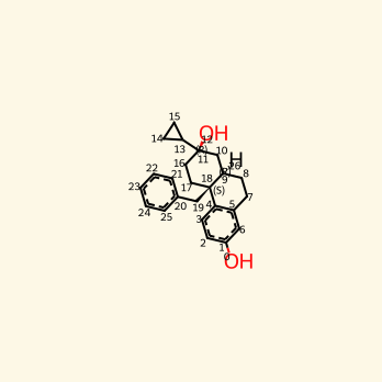 Oc1ccc2c(c1)CC[C@@H]1C[C@@](O)(C3CC3)CC[C@@]21Cc1ccccc1